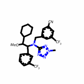 COC(C1CCCCC1)C(c1cccc(C(F)(F)F)c1)N(Cc1cc(C#N)cc(C(F)(F)F)c1)c1nnn(C)n1